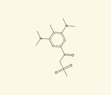 Cc1c(N(C)C)cc(C(=O)CS(C)(=O)=O)cc1N(C)C